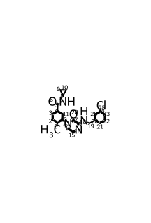 Cc1ccc(C(=O)NC2CC2)cc1-n1ccnc(NCc2cccc(Cl)c2)c1=O